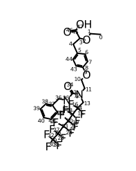 CCOC(Cc1ccc(OCCN(CC(F)(F)C(F)(F)C(F)(F)C(F)(F)C(F)(F)C(F)(F)F)C(=O)NCc2ccccc2)cc1)C(=O)O